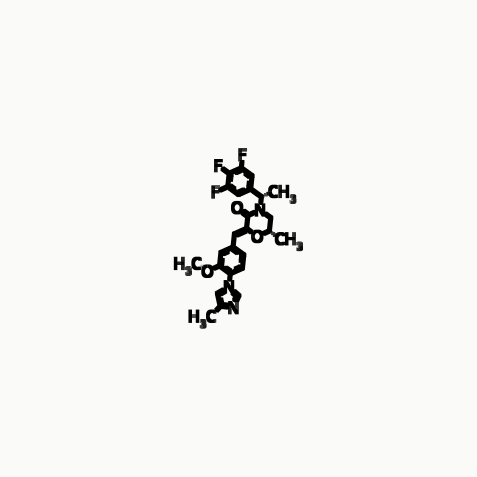 COc1cc(C=C2O[C@@H](C)CN([C@@H](C)c3cc(F)c(F)c(F)c3)C2=O)ccc1-n1cnc(C)c1